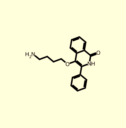 NCCCCOc1c(-c2ccccc2)[nH]c(=O)c2ccccc12